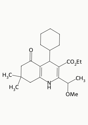 CCOC(=O)C1=C(C(C)OC)NC2=C(C(=O)CC(C)(C)C2)C1C1CCCCC1